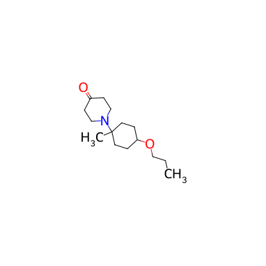 CCCOC1CCC(C)(N2CCC(=O)CC2)CC1